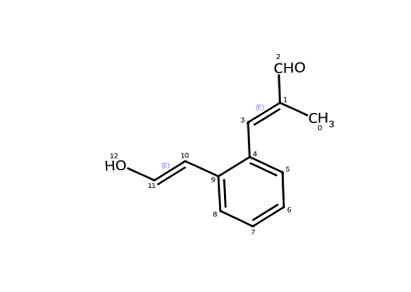 C/C(C=O)=C\c1ccccc1/C=C/O